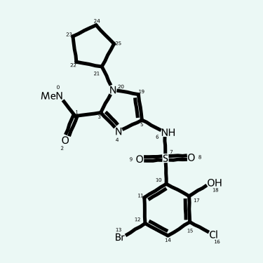 CNC(=O)c1nc(NS(=O)(=O)c2cc(Br)cc(Cl)c2O)cn1C1CCCC1